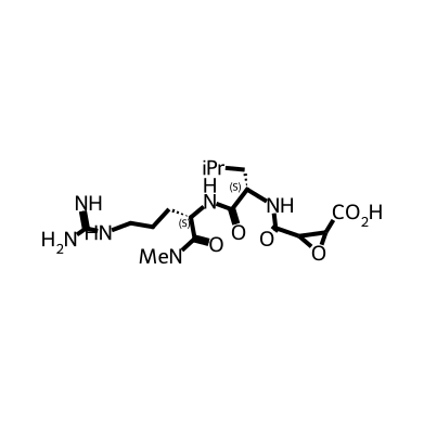 CNC(=O)[C@H](CCCNC(=N)N)NC(=O)[C@H](CC(C)C)NC(=O)C1OC1C(=O)O